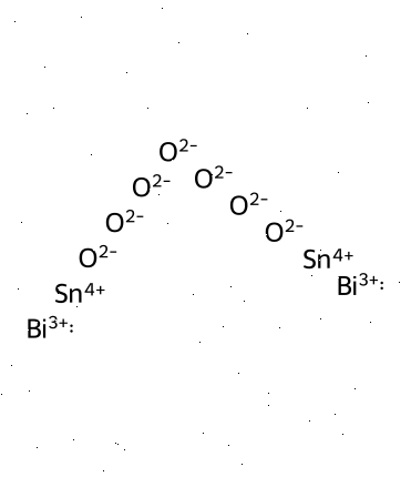 [Bi+3].[Bi+3].[O-2].[O-2].[O-2].[O-2].[O-2].[O-2].[O-2].[Sn+4].[Sn+4]